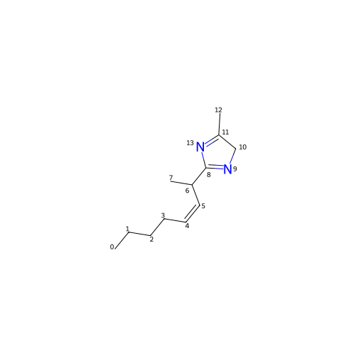 CCCC/C=C\C(C)C1=NCC(C)=N1